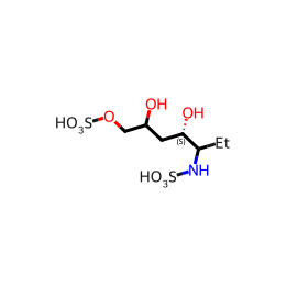 CCC(NS(=O)(=O)O)[C@@H](O)CC(O)COS(=O)(=O)O